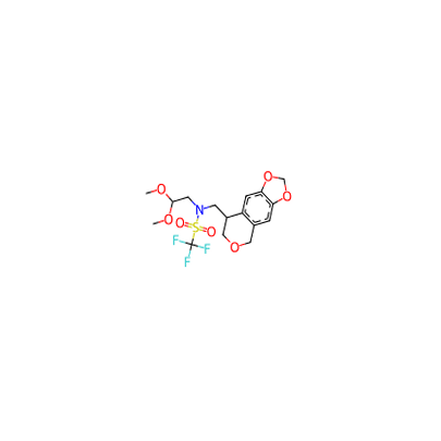 COC(CN(CC1COCc2cc3c(cc21)OCO3)S(=O)(=O)C(F)(F)F)OC